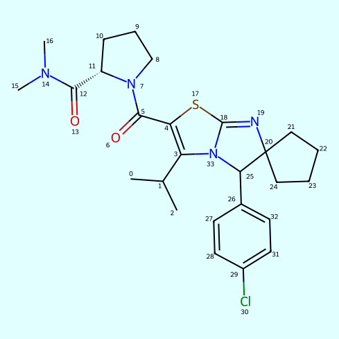 CC(C)C1=C(C(=O)N2CCC[C@H]2C(=O)N(C)C)SC2=NC3(CCCC3)C(c3ccc(Cl)cc3)N21